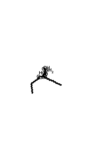 CCCCCCCC/C=C\CCCCCCCC(=O)OC[C@H](COP(=O)(O)OC[C@H](N)C(=O)O)OC(=O)CCCCCCCCCCCCCCCC